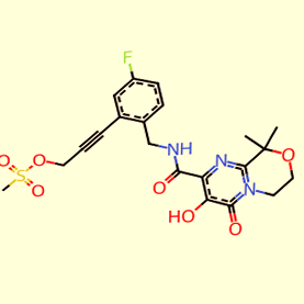 CC1(C)OCCn2c1nc(C(=O)NCc1ccc(F)cc1C#CCOS(C)(=O)=O)c(O)c2=O